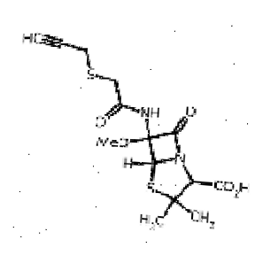 C#CCSCC(=O)N[C@]1(OC)C(=O)N2[C@@H](C(=O)O)C(C)(C)S[C@@H]21